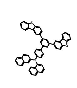 c1ccc2cc(N(c3ccc(-c4cc(-c5ccc6oc7ccccc7c6c5)cc(-c5ccc6sc7ccccc7c6c5)c4)cc3)c3cccc4ccccc34)ccc2c1